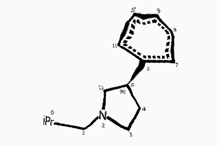 CC(C)CN1CC[C@H](c2ccccc2)C1